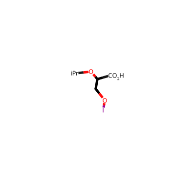 CC(C)OC(COI)C(=O)O